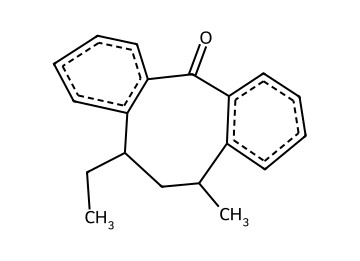 CCC1CC(C)c2ccccc2C(=O)c2ccccc21